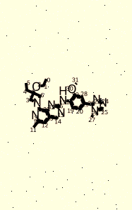 CCOC1(CC)CN(c2nc(C)cc3cnc(Nc4ccc(-c5nncn5C)cc4OC)nc23)C1